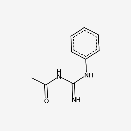 CC(=O)NC(=N)Nc1ccccc1